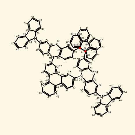 c1ccc2c(c1)c1ccccc1n2-c1ccc2c(c1)Sc1cc(-n3c4ccccc4c4ccccc43)ccc1N2c1ccc2c3nccnc3c3ccc(N4c5ccc(-n6c7ccccc7c7ccccc76)cc5Sc5cc(-n6c7ccccc7c7ccccc76)ccc54)nc3c2n1